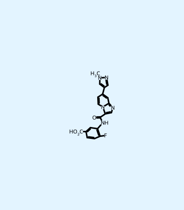 Cn1cc(-c2ccn3c(C(=O)Nc4cc(C(=O)O)ccc4F)cnc3c2)cn1